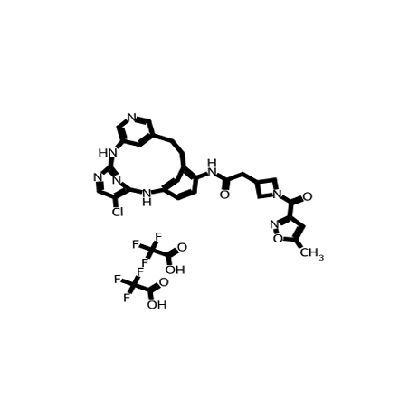 Cc1cc(C(=O)N2CC(CC(=O)Nc3ccc4cc3CCc3cncc(c3)Nc3ncc(Cl)c(n3)N4)C2)no1.O=C(O)C(F)(F)F.O=C(O)C(F)(F)F